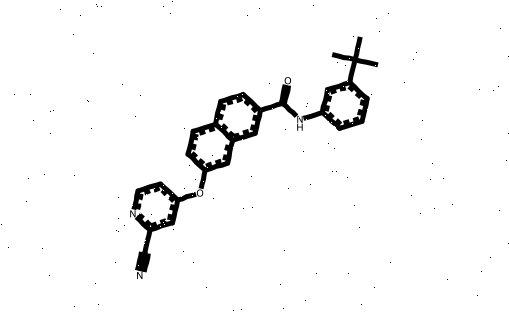 CC(C)(C)c1cccc(NC(=O)c2ccc3ccc(Oc4ccnc(C#N)c4)cc3c2)c1